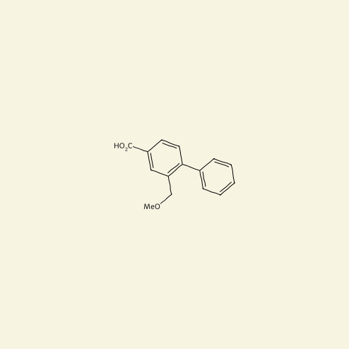 COCc1cc(C(=O)O)ccc1-c1ccccc1